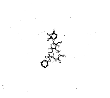 CC(C)OC(=O)[C@H](C)NP(=O)(OC[C@@]1(F)O[C@@H](n2ccc(=S)[nH]c2=S)[C@@](F)(CF)C1O)Oc1ccccc1